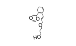 OCCCOC/C=C/C1=C(C2=COC=CO2)CCC=C1